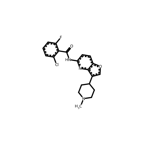 CN1CCC(c2coc3ccc(NC(=O)c4c(F)cccc4Cl)nc23)CC1